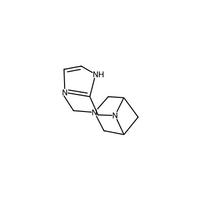 CCN1CC2CC(C1)N2Cc1ncc[nH]1